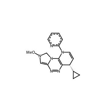 CON1C=C2N=NC3=C(N2C1)N(c1ccccn1)C=C[C@@H]3C1CC1